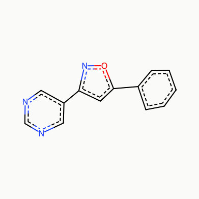 c1ccc(-c2cc(-c3cncnc3)no2)cc1